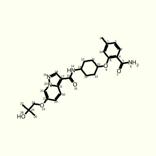 Cc1ccc(C(N)=O)c(OC2CCC(NC(=O)c3cnn4cc(OCC(C)(C)O)ccc34)CC2)c1